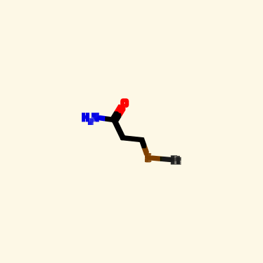 [CH2]CSCCC(N)=O